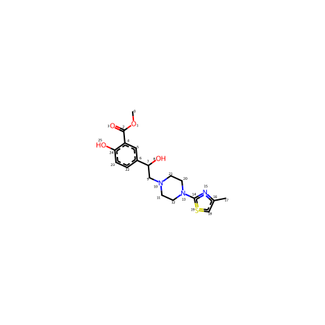 COC(=O)c1cc(C(O)CN2CCN(c3nc(C)cs3)CC2)ccc1O